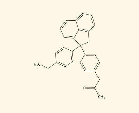 CCc1ccc(C2(c3ccc(CC(C)=O)cc3)Cc3cccc4cccc2c34)cc1